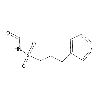 O=[C]NS(=O)(=O)CCCc1ccccc1